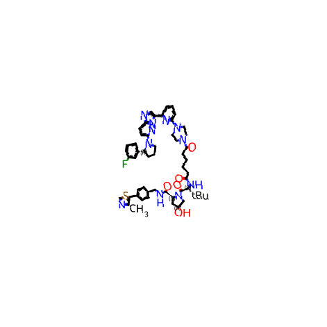 Cc1ncsc1-c1ccc(CNC(=O)[C@@H]2C[C@@H](O)CN2C(=O)[C@@H](NC(=O)CCCCC(=O)N2CCN(c3cccc(-c4cnc5ccc(N6CCC[C@@H]6c6cccc(F)c6)nn45)n3)CC2)C(C)(C)C)cc1